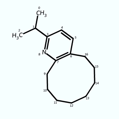 CC(C)c1ccc2c(n1)CCCCCCCC2